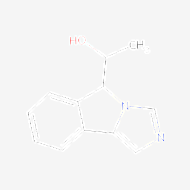 CC(O)C1c2ccccc2-c2cncn21